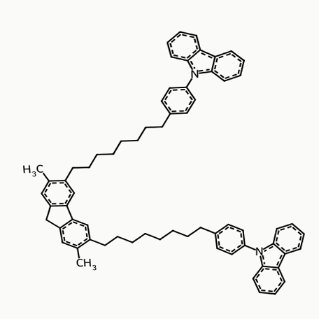 Cc1cc2c(cc1CCCCCCCCc1ccc(-n3c4ccccc4c4ccccc43)cc1)-c1cc(CCCCCCCCc3ccc(-n4c5ccccc5c5ccccc54)cc3)c(C)cc1C2